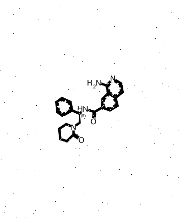 Nc1nccc2ccc(C(=O)N[C@@H](CN3CCCCC3=O)c3ccccc3)cc12